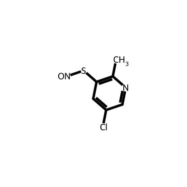 Cc1ncc(Cl)cc1SN=O